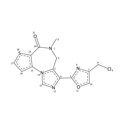 CN1Cc2c(-c3nc(CCl)co3)ncn2-c2ccsc2C1=O